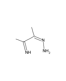 CC(=N)/C(C)=N\N